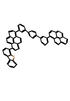 c1cc(-c2ccc(-c3cccc(-c4ccc5ccc6c(-c7cccc8c7sc7ccccc78)ccc7ccc4c5c76)c3)cc2)cc(-c2ccc3ccc4cccc5ccc2c3c45)c1